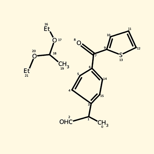 CC(C=O)c1ccc(C(=O)c2cccs2)cc1.CCOC(C)OCC